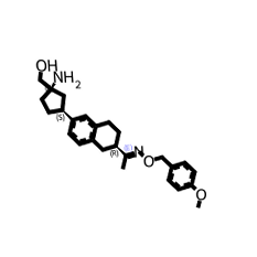 COc1ccc(CO/N=C(\C)[C@@H]2CCc3cc([C@H]4CC[C@](N)(CO)C4)ccc3C2)cc1